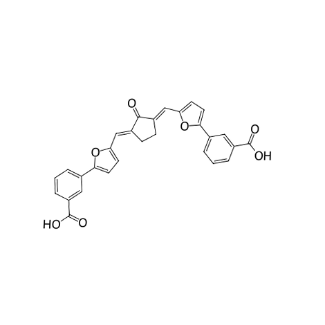 O=C1/C(=C/c2ccc(-c3cccc(C(=O)O)c3)o2)CC/C1=C\c1ccc(-c2cccc(C(=O)O)c2)o1